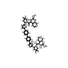 COC(=O)N[C@H](C(=O)N1CC(C)(C)C[C@H]1c1ncc(-c2ccc(-c3ccc(-c4cnc([C@@H]5CC(C)(C)CN5C(=O)[C@@H](NC(=O)OC)C5CCOCC5)[nH]4)cc3)cc2)[nH]1)C1CCOCC1